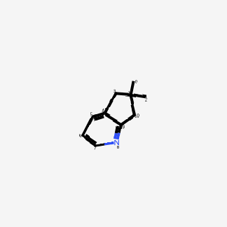 CC1(C)Cc2cccnc2C1